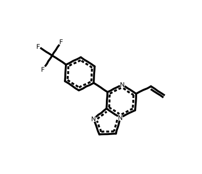 C=Cc1cn2ccnc2c(-c2ccc(C(F)(F)F)cc2)n1